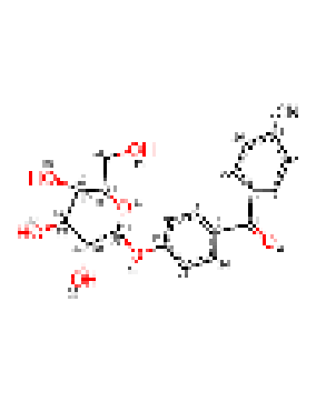 N#Cc1ccc(C(=O)c2ccc(O[C@@H]3O[C@H](CO)[C@H](O)[C@H](O)[C@H]3O)cc2)cc1